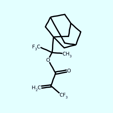 C=C(C(=O)OC(C)(C(F)(F)F)C12CC3CC(CC(C3)C1)C2)C(F)(F)F